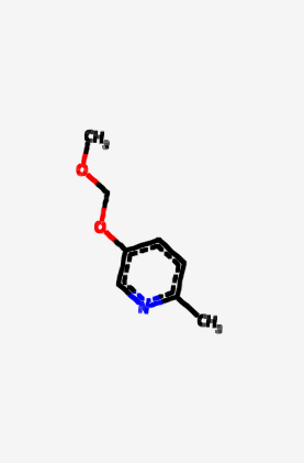 COCOc1ccc(C)nc1